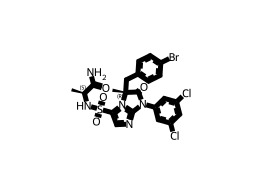 C[C@H](NS(=O)(=O)c1cnc2n1[C@](C)(Cc1ccc(Br)cc1)C(=O)N2c1cc(Cl)cc(Cl)c1)C(N)=O